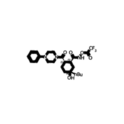 CCCC[C@@]1(O)CC[C@H](C(=O)N2CCN(c3ccccc3)CC2)[C@@H](C(=O)NOC(=O)C(F)(F)F)C1